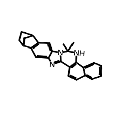 CC1(C)Nc2c(ccc3ccccc23)-c2nc3cc4c(cc3n21)C1CCC4C1